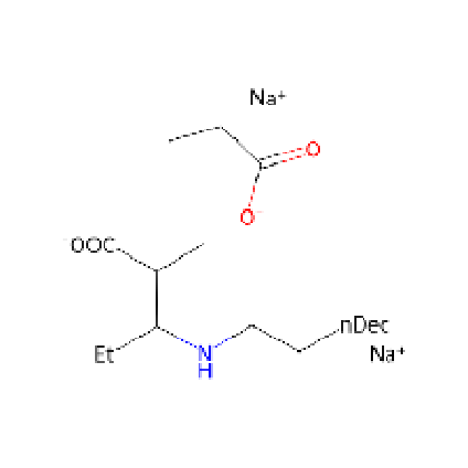 CCC(=O)[O-].CCCCCCCCCCCCNC(CC)C(C)C(=O)[O-].[Na+].[Na+]